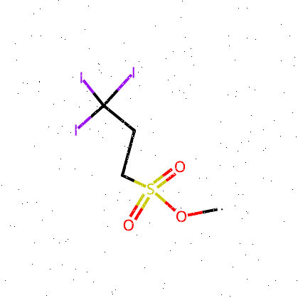 [CH2]OS(=O)(=O)CCC(I)(I)I